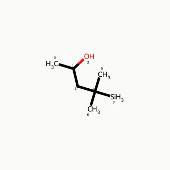 CC(O)CC(C)(C)[SiH3]